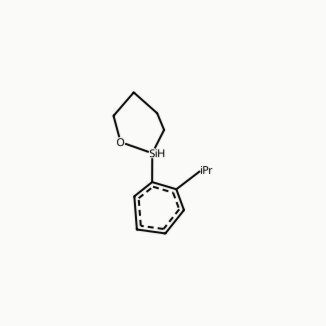 CC(C)c1ccccc1[SiH]1CCCCO1